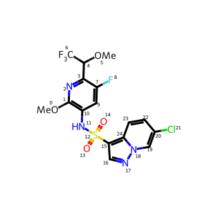 COc1nc(C(OC)C(F)(F)F)c(F)cc1NS(=O)(=O)c1cnn2cc(Cl)ccc12